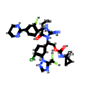 CC(C)(C)C[C@]1(c2ccc(-c3ncccn3)cc2F)NC(=N)N(C(COC(=O)NC2(C(F)(F)F)CC2)c2ccc(Cl)c(-n3ncnc3C(F)F)c2)C1=O